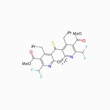 COC(=O)c1c(C(F)F)nc(C(F)(F)F)c(C(=S)c2c(C(F)(F)F)nc(C(F)F)c(C(=O)OC)c2CC(C)C)c1CC(C)C